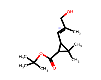 C/C(=C\C1C(C(=O)OC(C)(C)C)C1(C)C)CO